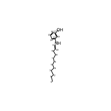 CCCCCCCCCCC=CNc1cccc(O)c1